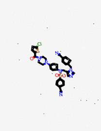 N#Cc1ccc(Cn2cncc2CN(c2ccc(N3CCN(C(=O)c4ccc(Cl)s4)CC3)cc2)S(=O)(=O)c2ccc(C#N)cc2)cc1